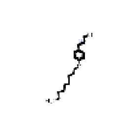 CCCCCCCCCOc1ccc(/C=C/C=O)cc1